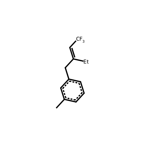 CC/C(=C\C(F)(F)F)Cc1cccc(C)c1